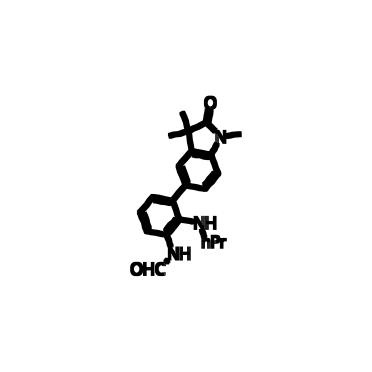 CCCNc1c(NC=O)cccc1-c1ccc2c(c1)C(C)(C)C(=O)N2C